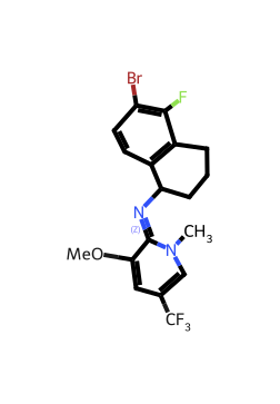 COc1cc(C(F)(F)F)cn(C)/c1=N\C1CCCc2c1ccc(Br)c2F